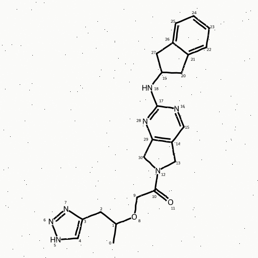 CC(Cc1c[nH]nn1)OCC(=O)N1Cc2cnc(NC3Cc4ccccc4C3)nc2C1